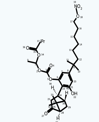 CC(OC(=O)Oc1cc(C(C)(C)CCCCCCO[N+](=O)[O-])cc(O)c1[C@@H]1CC(=O)[C@@H]2C[C@@H]1C2(C)C)OC(=O)C(C)C